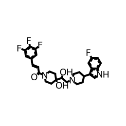 O=C(/C=C/c1cc(F)c(F)c(F)c1)N1CCC(O)(C(O)CN2CCC(c3c[nH]c4ccc(F)cc34)CC2)CC1